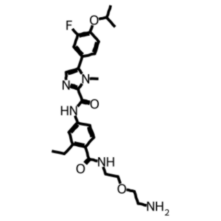 CCc1cc(NC(=O)c2ncc(-c3ccc(OC(C)C)c(F)c3)n2C)ccc1C(=O)NCCOCCN